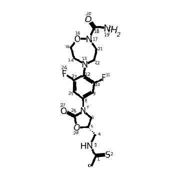 CC(=S)NC[C@H]1CN(c2cc(F)c(N3CCON(C(N)=O)CC3)c(F)c2)C(=O)O1